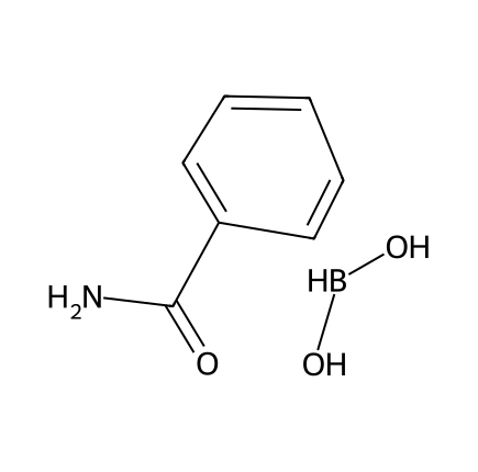 NC(=O)c1ccccc1.OBO